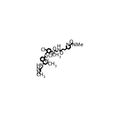 CNC(=O)c1ccc(CCC(=O)NCC(=O)N(C)c2ccc(Cl)c(COc3cccc4c(NCc5cn(C)cn5)cc(C)nc34)c2Cl)cn1